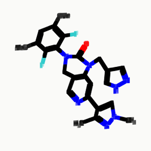 COc1cc(OC)c(F)c(N2Cc3cnc(-c4cn(C)nc4C)cc3N(Cc3cn[nH]c3)C2=O)c1F